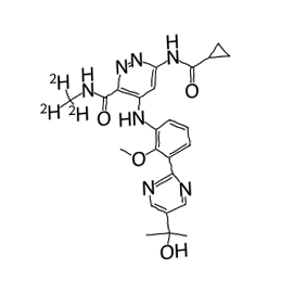 [2H]C([2H])([2H])NC(=O)c1nnc(NC(=O)C2CC2)cc1Nc1cccc(-c2ncc(C(C)(C)O)cn2)c1OC